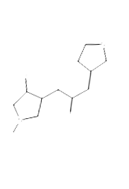 CC(CC1CCNC1)CC1CN(C)CC1C(C)C